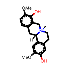 COc1cc2c(cc1O)CC[N@@+]1(C)Cc3c(ccc(OC)c3O)C[C@@H]21